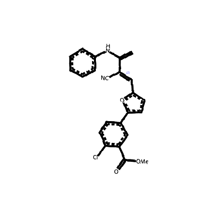 C=C(Nc1ccccc1)/C(C#N)=C/c1ccc(-c2ccc(Cl)c(C(=O)OC)c2)o1